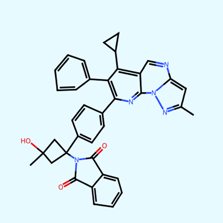 Cc1cc2ncc3c(C4CC4)c(-c4ccccc4)c(-c4ccc(C5(N6C(=O)c7ccccc7C6=O)CC(C)(O)C5)cc4)nc3n2n1